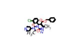 CCN(C(=O)N1C(=O)NC(C)=C(C(=O)OCc2ccccc2)C1c1cccc(Cl)c1)c1ccncc1